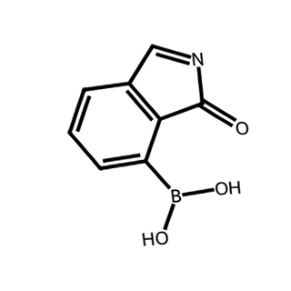 O=C1N=Cc2cccc(B(O)O)c21